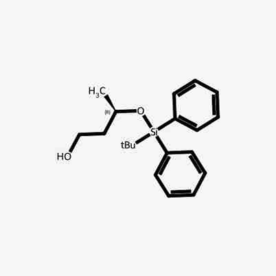 C[C@H](CCO)O[Si](c1ccccc1)(c1ccccc1)C(C)(C)C